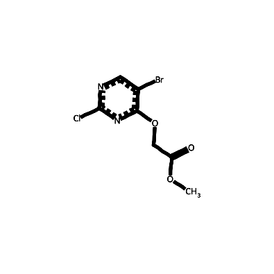 COC(=O)COc1nc(Cl)ncc1Br